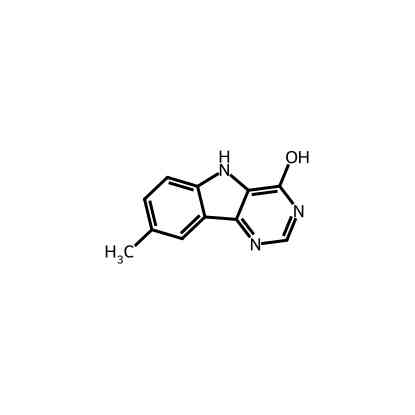 Cc1ccc2[nH]c3c(O)ncnc3c2c1